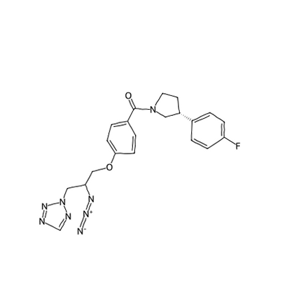 [N-]=[N+]=NC(COc1ccc(C(=O)N2CC[C@H](c3ccc(F)cc3)C2)cc1)Cn1ncnn1